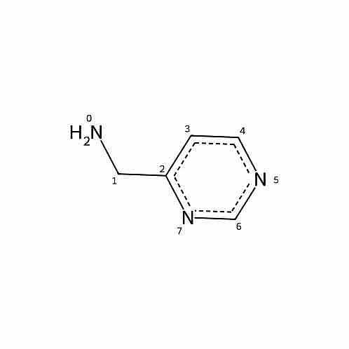 NCc1ccncn1